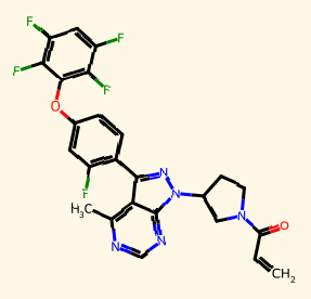 C=CC(=O)N1CCC(n2nc(-c3ccc(Oc4c(F)c(F)cc(F)c4F)cc3F)c3c(C)ncnc32)C1